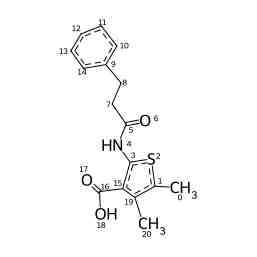 Cc1sc(NC(=O)CCc2ccccc2)c(C(=O)O)c1C